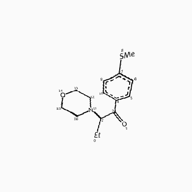 CCC(C(=O)c1ccc(SC)cc1)N1CCOCC1